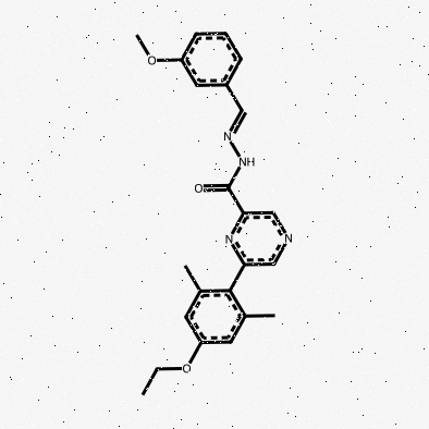 CCOc1cc(C)c(-c2cncc(C(=O)NN=Cc3cccc(OC)c3)n2)c(C)c1